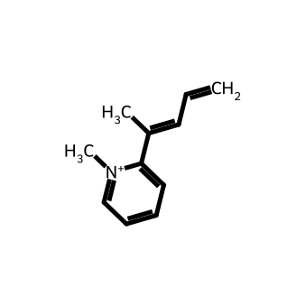 C=C/C=C(\C)c1cccc[n+]1C